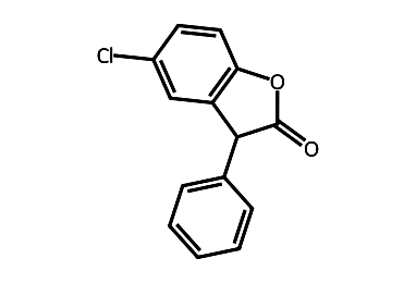 O=C1Oc2ccc(Cl)cc2C1c1ccccc1